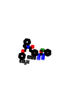 COc1cc(CC(=O)N2C3CCCCC3C[C@H]2COC2CCC(C(=O)O)CC2)ccc1NC(=O)Nc1ccccc1Cl